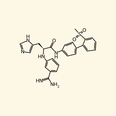 CS(=O)(=O)c1ccccc1-c1ccc(NC(=O)[C@H](Cc2cnc[nH]2)Nc2cccc(C(=N)N)c2)cc1